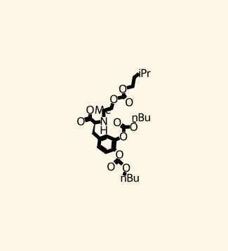 CCCCOC(=O)Oc1ccc(C[C@H](NCCOC(=O)OCCC(C)C)C(=O)OC)cc1OC(=O)OCCCC